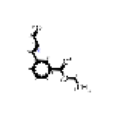 CCOC(=O)c1cccc(/C=C/C=O)c1